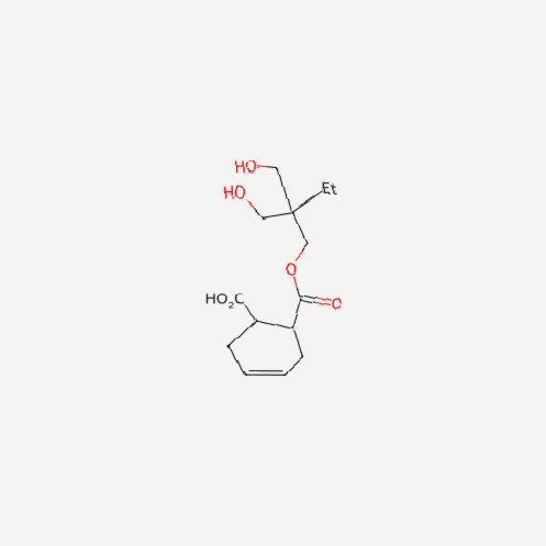 CCC(CO)(CO)COC(=O)C1CC=CCC1C(=O)O